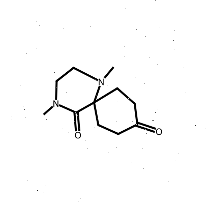 CN1CCN(C)C2(CCC(=O)CC2)C1=O